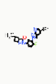 CC1CCC(C(=O)Nc2ccc(F)c(-n3cc4cc(C(C)C)cnc4n3)c2)C1